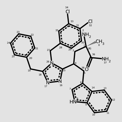 C[C@@](N)(CC(Cc1c[nH]c2ccccc12)c1nnc(Cc2ccccc2)n1Cc1ccc(Cl)c(Cl)c1)C(N)=O